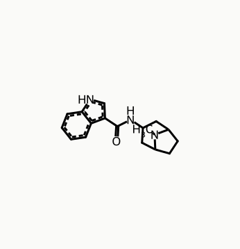 CN1C2CCC1CC(NC(=O)c1c[nH]c3ccccc13)C2